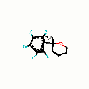 Fc1c(F)c(F)c(C2([SiH3])CCCCO2)c(F)c1F